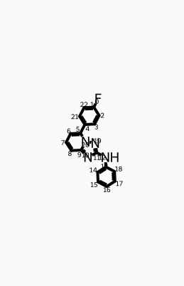 Fc1ccc(-c2cccc3nc(Nc4ccccc4)nn23)cc1